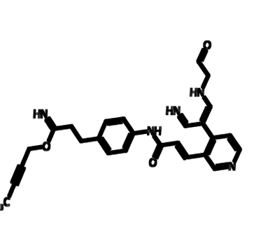 CC#CCOC(=N)CCc1ccc(NC(=O)/C=C/c2cnccc2/C(C=N)=C/NCC=O)cc1